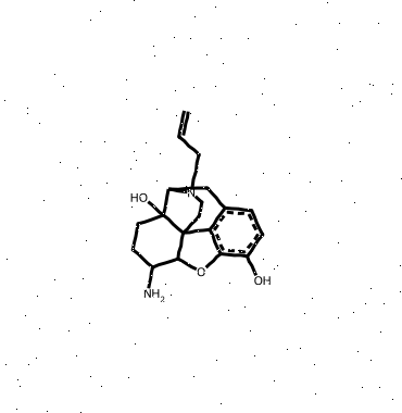 C=CCN1CCC23c4c5ccc(O)c4OC2C(N)CCC3(O)C1C5